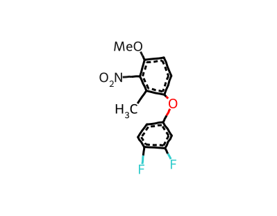 COc1ccc(Oc2ccc(F)c(F)c2)c(C)c1[N+](=O)[O-]